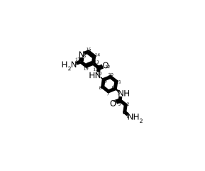 NCCC(=O)N[C@H]1CC[C@H](NC(=O)c2ccnc(N)c2)CC1